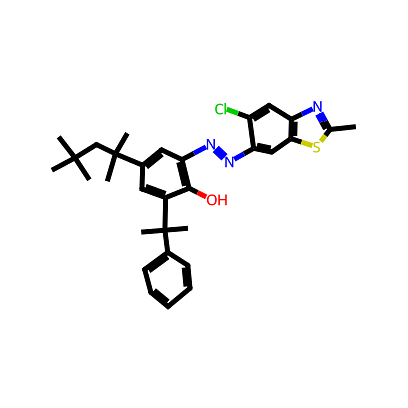 Cc1nc2cc(Cl)c(N=Nc3cc(C(C)(C)CC(C)(C)C)cc(C(C)(C)c4ccccc4)c3O)cc2s1